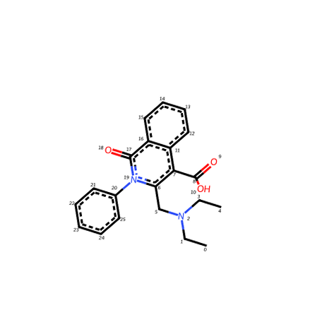 CCN(CC)Cc1c(C(=O)O)c2ccccc2c(=O)n1-c1ccccc1